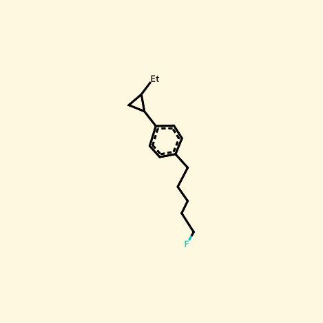 CCC1CC1c1ccc(CCCCCF)cc1